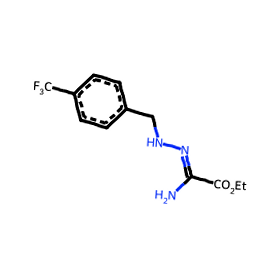 CCOC(=O)/C(N)=N/NCc1ccc(C(F)(F)F)cc1